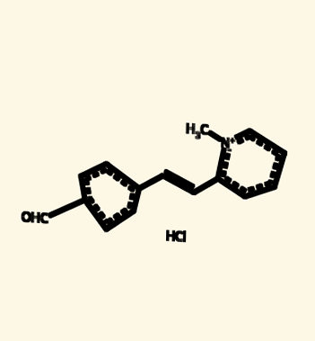 C[n+]1ccccc1C=Cc1ccc(C=O)cc1.Cl